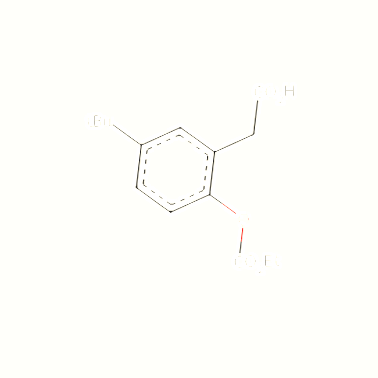 CCOC(=O)Oc1ccc(C(C)(C)C)cc1CC(=O)O